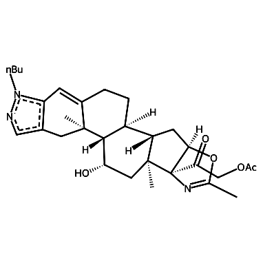 CCCCn1ncc2c1C=C1CC[C@@H]3[C@H]([C@@H](O)C[C@@]4(C)[C@H]3C[C@H]3OC(C)=N[C@]34C(=O)COC(C)=O)[C@@]1(C)C2